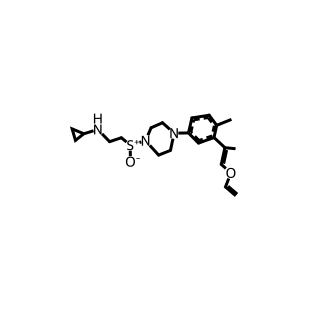 C=CO/C=C(\C)c1cc(N2CCN([S+]([O-])CCNC3CC3)CC2)ccc1C